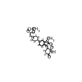 COC(CN1CCC(c2ccc3c(c2)n(C)c(=O)n3C2CCC(=O)NC2=O)CC1)OC